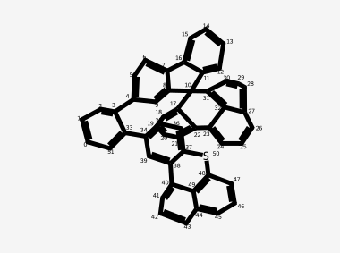 c1ccc(-c2ccc3c(c2)C2(c4ccccc4-3)c3ccccc3-c3cccc4cccc2c34)c(-c2ccc3c(c2)-c2cccc4cccc(c24)S3)c1